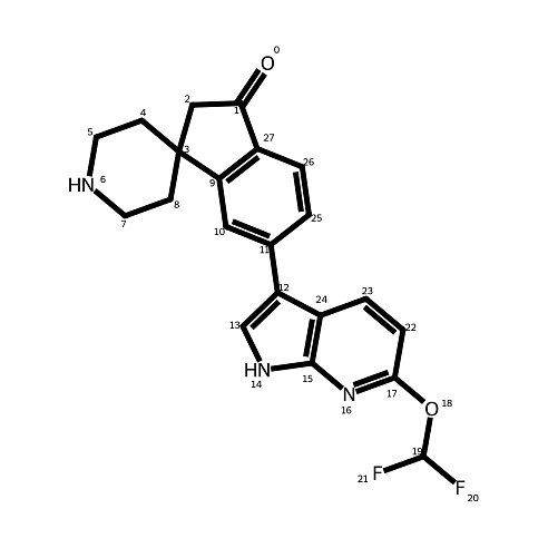 O=C1CC2(CCNCC2)c2cc(-c3c[nH]c4nc(OC(F)F)ccc34)ccc21